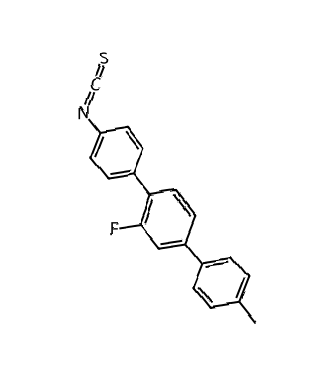 Cc1ccc(-c2ccc(-c3ccc(N=C=S)cc3)c(F)c2)cc1